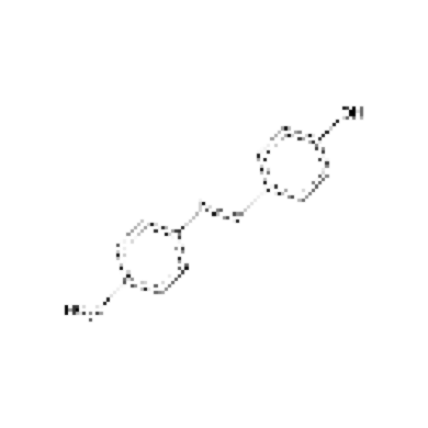 O=C(O)c1ccc(N=Cc2ccc(O)cc2)cc1